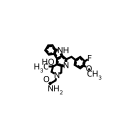 COc1ccc(Cc2nc3c(c4c2[nH]c2ccccc24)C(C)(O)CN(CC(N)=O)C3)cc1F